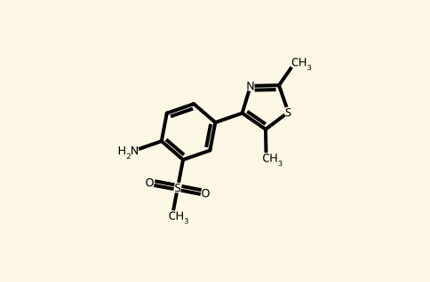 Cc1nc(-c2ccc(N)c(S(C)(=O)=O)c2)c(C)s1